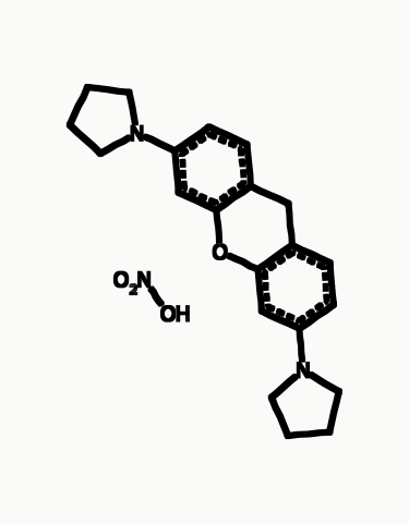 O=[N+]([O-])O.c1cc2c(cc1N1CCCC1)Oc1cc(N3CCCC3)ccc1C2